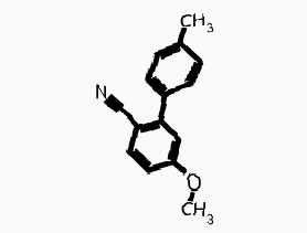 COc1ccc(C#N)c(-c2ccc(C)cc2)c1